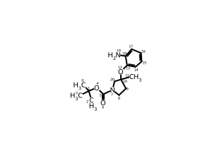 CC(C)(C)OC(=O)N1CCC(C)(Oc2ccccc2N)C1